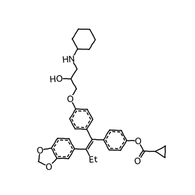 CC/C(=C(/c1ccc(OCC(O)CNC2CCCCC2)cc1)c1ccc(OC(=O)C2CC2)cc1)c1ccc2c(c1)OCO2